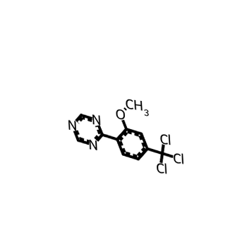 COc1cc(C(Cl)(Cl)Cl)ccc1-c1ncncn1